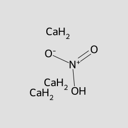 O=[N+]([O-])O.[CaH2].[CaH2].[CaH2]